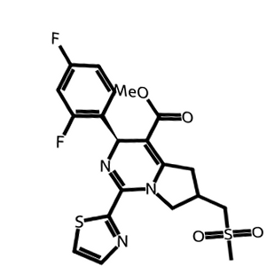 COC(=O)C1=C2CC(CS(C)(=O)=O)CN2C(c2nccs2)=N[C@H]1c1ccc(F)cc1F